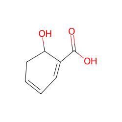 O=C(O)C1=CC=CCC1O